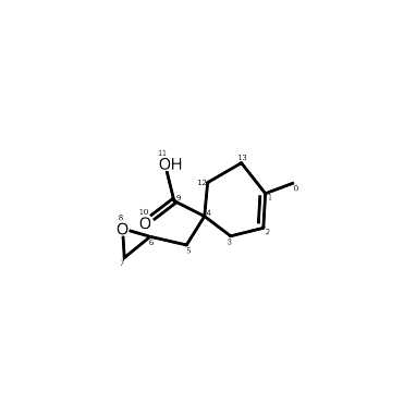 CC1=CCC(CC2CO2)(C(=O)O)CC1